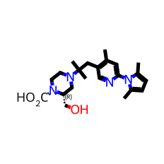 Cc1cc(-n2c(C)ccc2C)ncc1CC(C)(C)N1CCN(C(=O)O)[C@@H](CO)C1